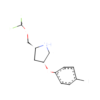 FC(F)OC[C@@H]1C[C@H](Oc2ccc(C(F)(F)F)cc2)CN1